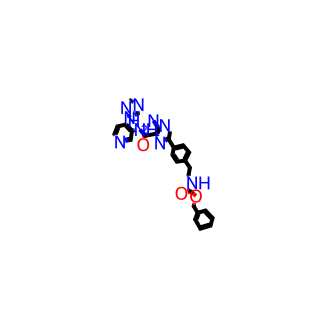 Nc1ncc(-c2ccc(CCNC(=O)OCc3ccccc3)cc2)nc1C(=O)Nc1cnccc1-n1cncn1